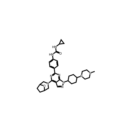 CN1CCN(C2CCC(n3ncc4c(N5CC6CCC(C5)O6)nc(-c5ccc(NC(=O)NC6CC6)cc5)nc43)CC2)CC1